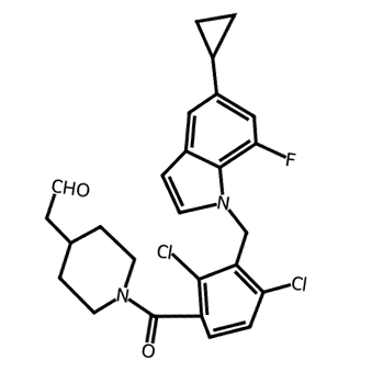 O=CCC1CCN(C(=O)c2ccc(Cl)c(Cn3ccc4cc(C5CC5)cc(F)c43)c2Cl)CC1